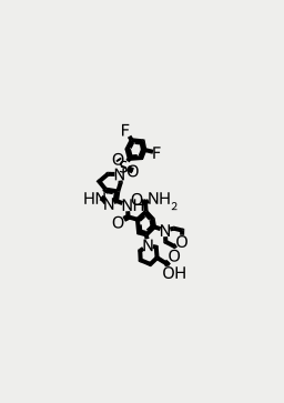 NC(=O)c1cc(N2CCOCC2)c(N2CCCC(C(=O)O)C2)cc1C(=O)Nc1n[nH]c2c1CN(S(=O)(=O)c1cc(F)cc(F)c1)CC2